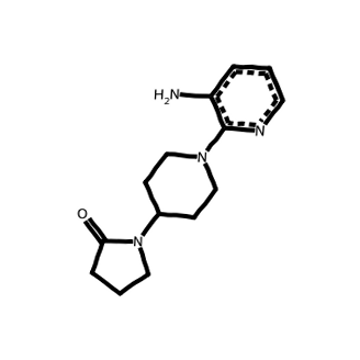 Nc1cccnc1N1CCC(N2CCCC2=O)CC1